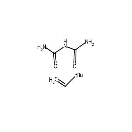 C=CC(C)(C)C.NC(=O)NC(N)=O